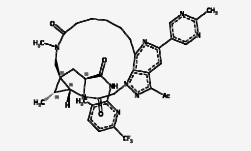 CC(=O)c1nn2c3c(nc(-c4cnc(C)nc4)cc13)CCCCCC(=O)N(C)C[C@@]13C[C@@H](C(=O)Nc4nc(C(F)(F)F)ccc4C)N(C(=O)C2)[C@@H]1[C@@H]3C